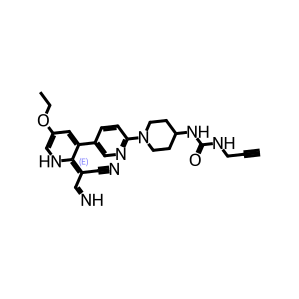 C#CCNC(=O)NC1CCN(c2ccc(C3=CC(OCC)=CN/C3=C(/C#N)C=N)cn2)CC1